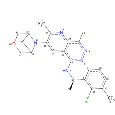 Cc1nnc(N[C@H](C)c2cccc(C(F)(F)F)c2F)c2cc(N3C4COCC3C4)c(C(F)(F)F)nc12